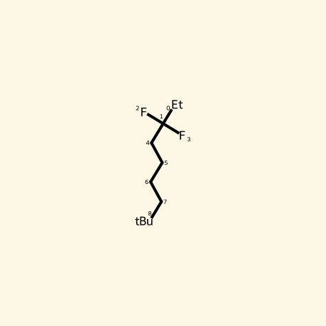 CCC(F)(F)CCCCC(C)(C)C